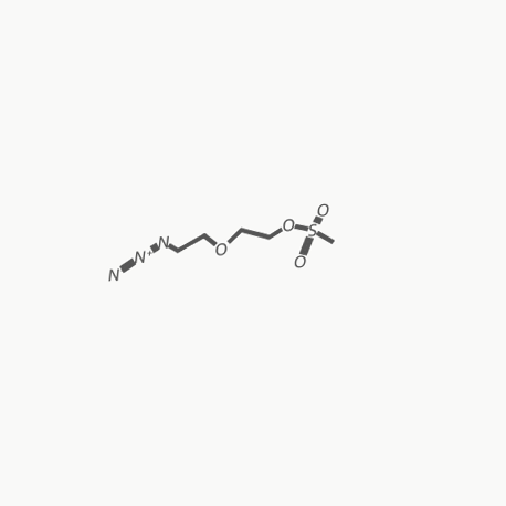 CS(=O)(=O)OCCOCCN=[N+]=[N-]